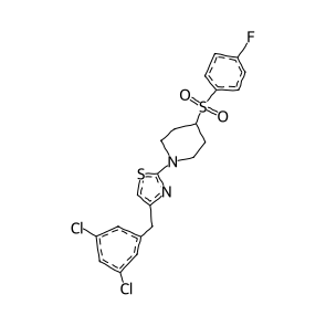 O=S(=O)(c1ccc(F)cc1)C1CCN(c2nc(Cc3cc(Cl)cc(Cl)c3)cs2)CC1